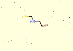 C=CCNCS